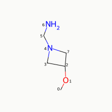 COC1CN(CN)C1